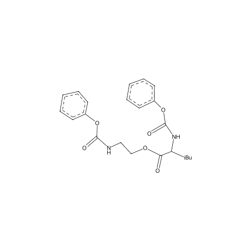 CCC(C)C(NC(=O)Oc1ccccc1)C(=O)OCCNC(=O)Oc1ccccc1